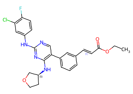 CCOC(=O)/C=C/c1cccc(-c2cnc(Nc3ccc(F)c(Cl)c3)nc2N[C@H]2CCOC2)c1